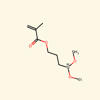 C=C(C)C(=O)OCCC[SiH](O[SiH3])OCC